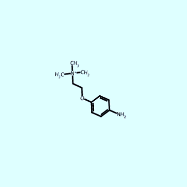 C[N+](C)(C)CCOc1ccc(N)cc1